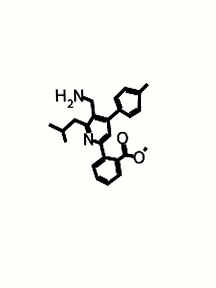 COC(=O)c1ccccc1-c1cc(-c2ccc(C)cc2)c(CN)c(CC(C)C)n1